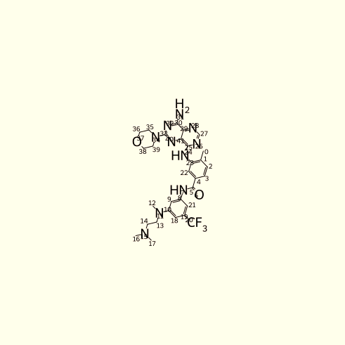 Cc1ccc(C(=O)Nc2cc(N(C)CCN(C)C)cc(C(F)(F)F)c2)cc1Nc1ncnc2c(N)nc(N3CCOCC3)nc12